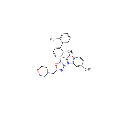 Cc1ccccc1C1=CC=CC(c2nnc(CN3CCOCC3)o2)(c2nc3cc(C=O)ccc3o2)C1C